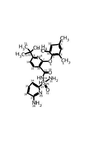 Cc1cc(C)c(Oc2nc(C(C)(C)C)ccc2C(=O)N[SH](N)(=O)c2cccc(N)n2)c(C)c1